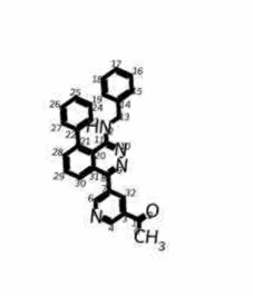 CC(=O)c1cncc(-c2nnc(NCc3ccccc3)c3c(-c4ccccc4)cccc23)c1